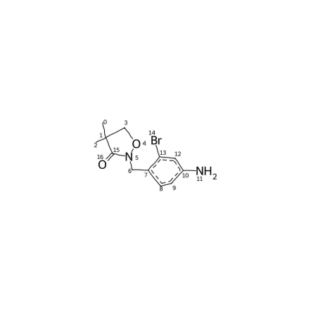 CC1(C)CON(Cc2ccc(N)cc2Br)C1=O